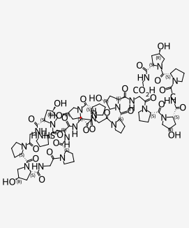 O=C(O)CNC(=O)[C@@H]1C[C@@H](O)CN1C(=O)[C@@H]1CCCN1C(=O)CNC(=O)[C@@H]1C[C@@H](O)CN1C(=O)[C@@H]1CCCN1C(=O)CNC(=O)[C@@H]1C[C@@H](O)CN1C(=O)[C@@H]1CCCN1C(=O)CNC(=O)[C@@H]1C[C@@H](O)CN1C(=O)[C@@H]1CCCN1C(=O)CNC(=O)[C@H](CS)NC(=O)[C@@H]1CCCN1C(=O)CNC(=O)[C@@H]1C[C@@H](O)CN1C(=O)[C@@H]1CCCN1C(=O)CNC(=O)[C@@H]1C[C@@H](O)CN1C(=O)[C@@H]1CCCN1